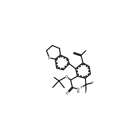 C=C(C)c1ccc(C(F)(F)F)c(C(OC(C)(C)C)C(=O)O)c1-c1ccc2c(c1)CCCO2